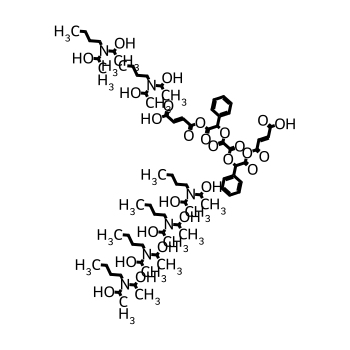 CCCCN(C(C)O)C(C)O.CCCCN(C(C)O)C(C)O.CCCCN(C(C)O)C(C)O.CCCCN(C(C)O)C(C)O.CCCCN(C(C)O)C(C)O.CCCCN(C(C)O)C(C)O.O=C(O)/C=C/C(=O)OC(=O)C(OC(=O)C(=O)OC(C(=O)OC(=O)/C=C/C(=O)O)c1ccccc1)c1ccccc1